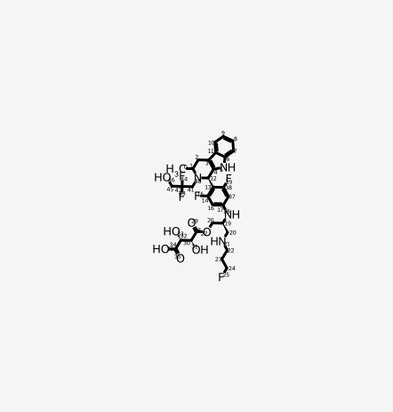 CC1Cc2c([nH]c3ccccc23)[C@@H](c2c(F)cc(N[C@@H](CNCCCF)COC(=O)[C@H](O)[C@@H](O)C(=O)O)cc2F)N1CC(F)(F)CO